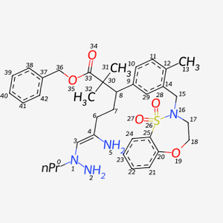 CCCN(N)/C=C(\N)CCC(c1ccc(C)c(CN2CCOc3ccccc3S2(=O)=O)c1)C(C)(C)C(=O)OCc1ccccc1